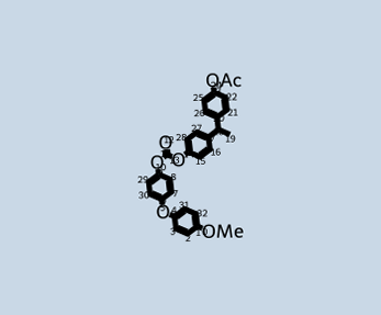 COc1ccc(Oc2ccc(OC(=O)Oc3ccc(C(C)c4ccc(OC(C)=O)cc4)cc3)cc2)cc1